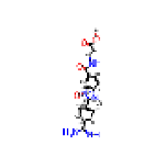 COC(=O)CCNC(=O)c1ccc2c(c1)[n+]([O-])c(-c1ccc(C(=N)N)cc1)n2C